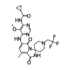 COc1c(NC(=O)C2CC2)ncnc1Nc1cc(C)c2n(c1=O)C1(CCN(CC(F)(F)F)CC1)NC2=O